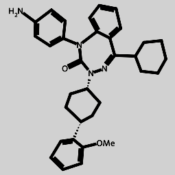 COc1ccccc1[C@H]1CC[C@@H](N2N=C(C3CCCCC3)c3ccccc3N(c3ccc(N)cc3)C2=O)CC1